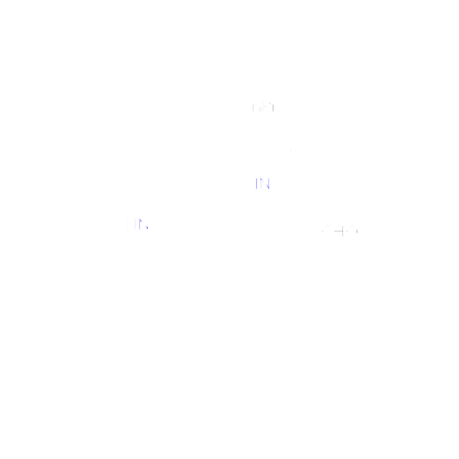 CCCC(=O)N[C@H](C=O)Cc1c[nH]c2ccccc12